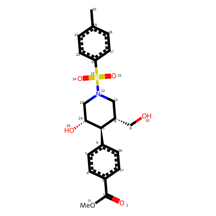 COC(=O)c1ccc([C@@H]2[C@@H](CO)CN(S(=O)(=O)c3ccc(C)cc3)C[C@H]2O)cc1